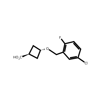 O=C(O)[C@H]1C[C@H](OCc2cc(Cl)ccc2F)C1